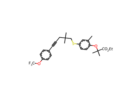 CCOC(=O)C(C)(C)Oc1ccc(SCC(C)(C)CC#Cc2ccc(OC(F)(F)F)cc2)cc1C